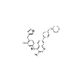 N#Cc1cnc2cc(-c3ccc(CN4CCCCC4)cc3)ccc2c1Nc1ccc(Cc2ccoc2)c(Cl)c1